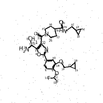 C[C@H](N)c1oc(-c2ccc(OC(F)F)c(OCC3CC3)c2)nc1C(=O)N1CCC(C(=O)NCC2CC2)CC1